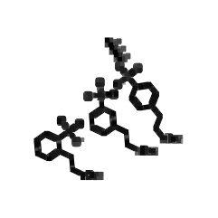 CCCCCCCCCCCCc1ccc(S(=O)(=O)[O-])cc1.CCCCCCCCCCCCc1cccc(S(=O)(=O)[O-])c1.CCCCCCCCCCCCc1ccccc1S(=O)(=O)[O-].[Na+].[Na+].[Na+]